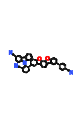 N#CC1=C(n2c3ccccc3c3cc(C#N)ccc32)C(C2=Cc3c(oc4c3ccc3c5cc(-c6ccc(C#N)cc6)ccc5oc34)CC2)CCC1